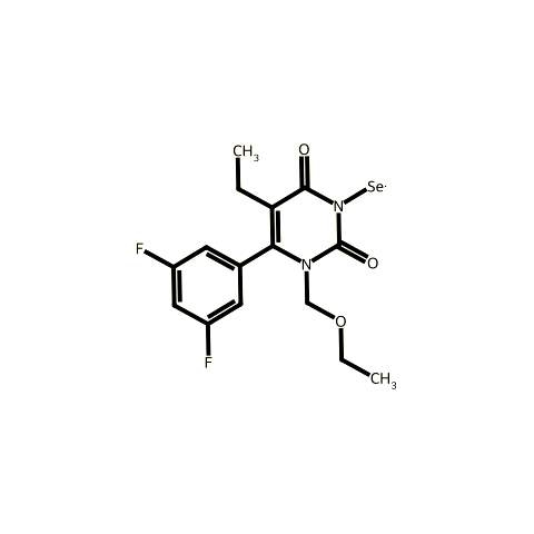 CCOCn1c(-c2cc(F)cc(F)c2)c(CC)c(=O)n([Se])c1=O